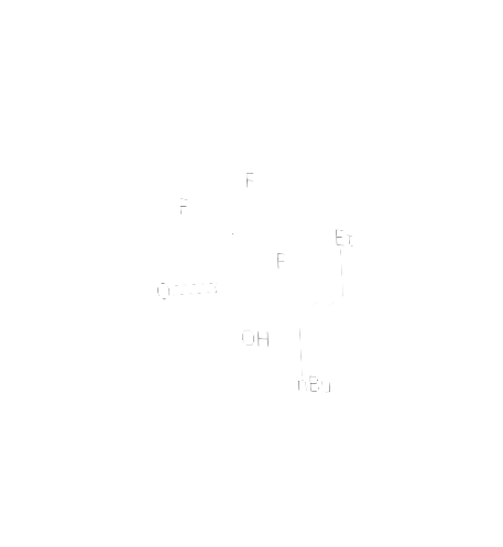 CCC=CCCCC.O=C(O)C(F)(F)F